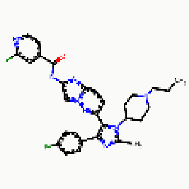 CCCN1CCC(n2c(C)nc(-c3ccc(F)cc3)c2-c2ccc3nc(NC(=O)c4ccnc(F)c4)cn3n2)CC1